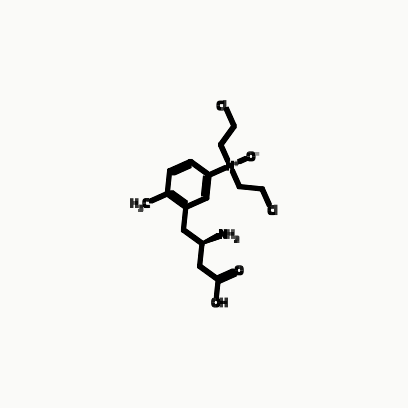 Cc1ccc([N+]([O-])(CCCl)CCCl)cc1C[C@@H](N)CC(=O)O